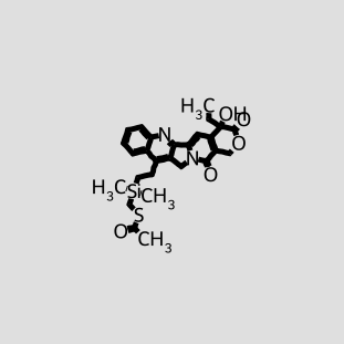 CCC1(O)C(=O)OCc2c1cc1n(c2=O)Cc2c-1nc1ccccc1c2CC[Si](C)(C)CSC(C)=O